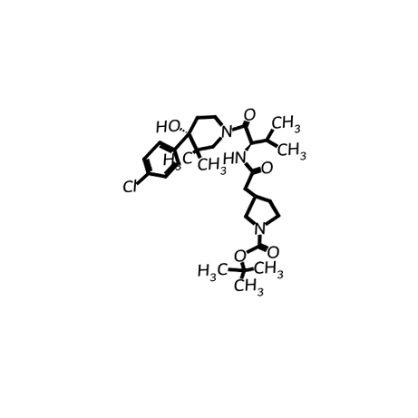 CC(C)[C@@H](NC(=O)CC1CCN(C(=O)OC(C)(C)C)C1)C(=O)N1CC[C@](O)(c2ccc(Cl)cc2)C(C)(C)C1